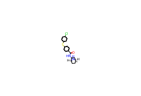 O=C(N[C@@H]1C[C@H]2CC[C@@H]1N2)c1ccc(Sc2ccc(Cl)cc2)cc1